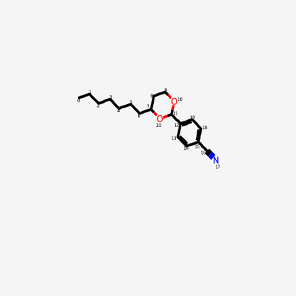 CCCCCCCC1CCOC(c2ccc(C#N)cc2)O1